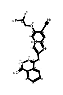 N#Cc1cc2nc(Cc3n[nH]c(=O)c4ccccc34)cn2cc1OCC(F)F